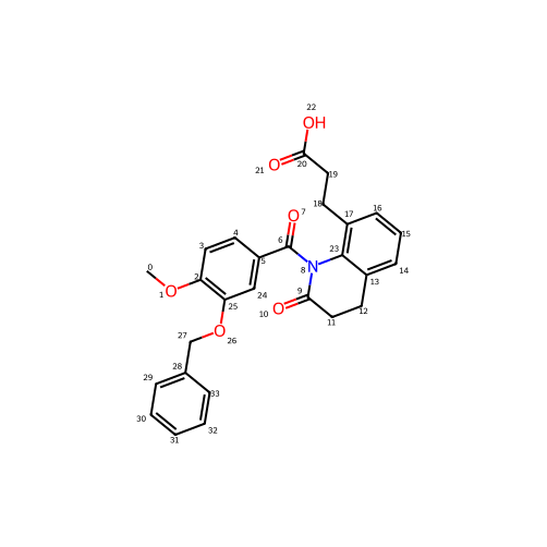 COc1ccc(C(=O)N2C(=O)CCc3cccc(CCC(=O)O)c32)cc1OCc1ccccc1